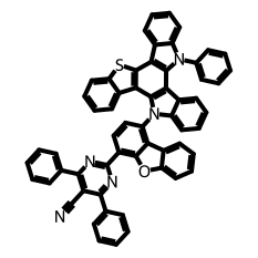 N#Cc1c(-c2ccccc2)nc(-c2ccc(-n3c4ccccc4c4c5c(c6ccccc6n5-c5ccccc5)c5sc6ccccc6c5c43)c3c2oc2ccccc23)nc1-c1ccccc1